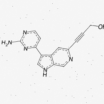 Nc1nccc(-c2c[nH]c3cnc(C#CCO)cc23)n1